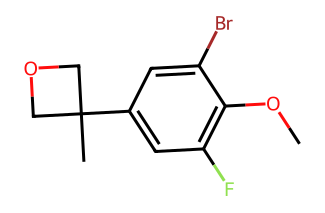 COc1c(F)cc(C2(C)COC2)cc1Br